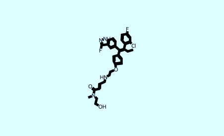 CCC(=C(c1ccc(OCCNCC=CC(=O)N(C)CCO)cc1)c1ccc2[nH]nc(F)c2c1)c1ccc(F)cc1Cl